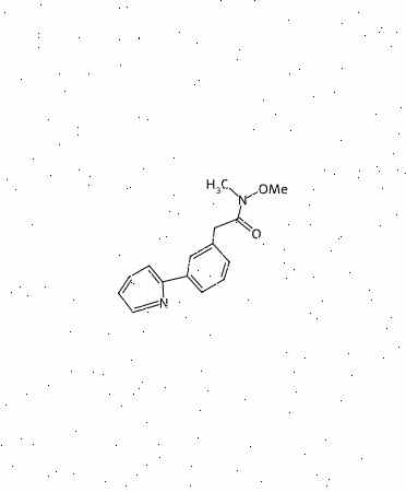 CON(C)C(=O)Cc1cccc(-c2ccccn2)c1